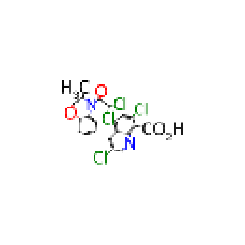 CC1COc2ccccc2N1C(=O)C(Cl)Cl.O=C(O)c1c(Cl)ccc2cc(Cl)cnc12